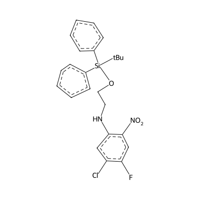 CC(C)(C)[Si](OCCNc1cc(Cl)c(F)cc1[N+](=O)[O-])(c1ccccc1)c1ccccc1